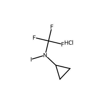 Cl.FC(F)(F)N(I)C1CC1